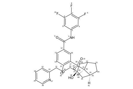 O=C(Nc1cc(F)c(F)c(F)c1)c1ccc(Cl)c(S(=O)(=O)[C@H]2C3CC[C@H]2C[C@](O)(COCc2ccccn2)C3)c1